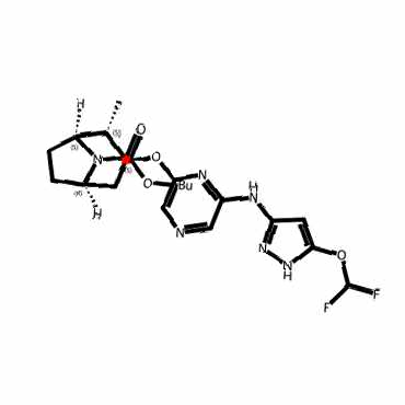 C[C@@H]1[C@@H](Oc2cncc(Nc3cc(OC(F)F)[nH]n3)n2)C[C@H]2CC[C@@H]1N2C(=O)OC(C)(C)C